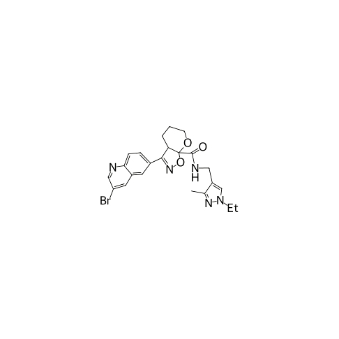 CCn1cc(CNC(=O)C23OCCCC2C(c2ccc4ncc(Br)cc4c2)=NO3)c(C)n1